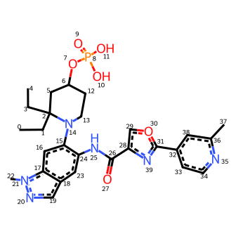 CCC1(CC)CC(OP(=O)(O)O)CCN1c1cc2c(cnn2C)cc1NC(=O)c1coc(-c2ccnc(C)c2)n1